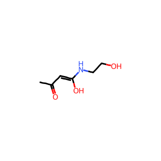 CC(=O)/C=C(\O)NCCO